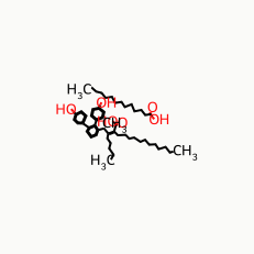 CCCCCCCCCCCCC(C(=O)O)=C(CCCCC)C(C)c1cccc(-c2ccc(O)cc2)c1-c1ccc(O)cc1.CCCCCCCCCCCCCC(=O)O